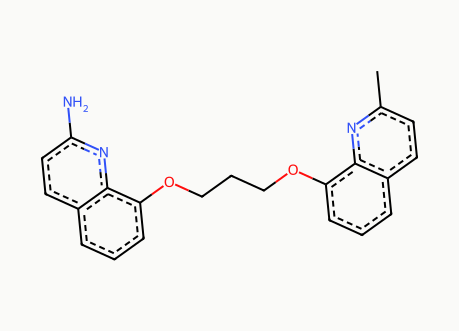 Cc1ccc2cccc(OCCCOc3cccc4ccc(N)nc34)c2n1